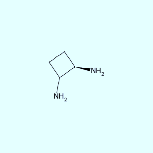 NC1CC[C@H]1N